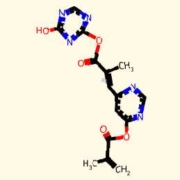 C=C(C)C(=O)Oc1cc(/C=C(\C)C(=O)Oc2ncnc(O)n2)ncn1